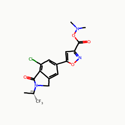 C[C@H](N1Cc2cc(-c3cc(C(=O)ON(C)C)no3)cc(Cl)c2C1=O)C(F)(F)F